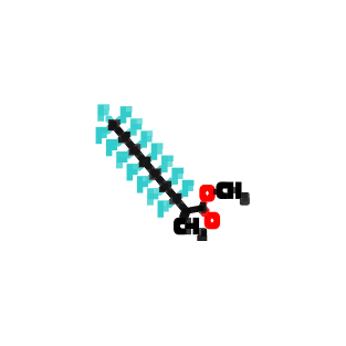 C=C(C(=O)OC)C(F)(F)C(F)(F)C(F)(F)C(F)(F)C(F)(F)C(F)(F)C(F)(F)F